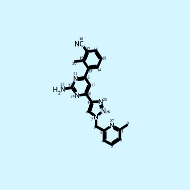 Cc1cccc(Cn2cc(-c3cc(-c4cccc(C#N)c4C)nc(N)n3)nn2)n1